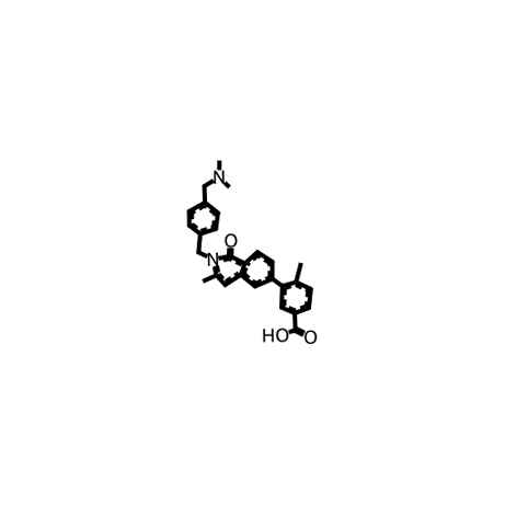 Cc1ccc(C(=O)O)cc1-c1ccc2c(=O)n(Cc3ccc(CN(C)C)cc3)c(C)cc2c1